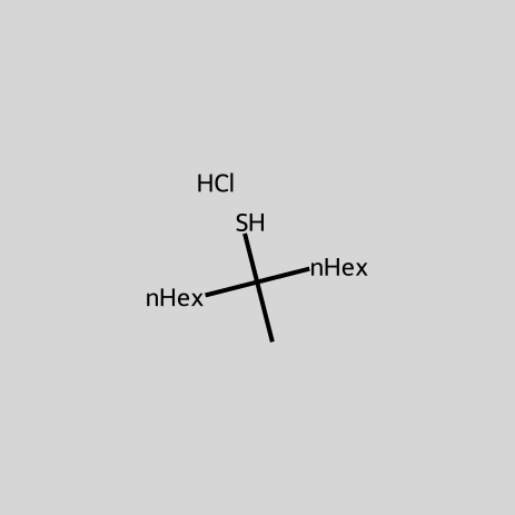 CCCCCCC(C)(S)CCCCCC.Cl